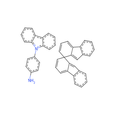 C1=CC2(C=CC=C3C2=Cc2ccccc23)C2=Cc3ccccc3C2=C1.Nc1ccc(-n2c3ccccc3c3ccccc32)cc1